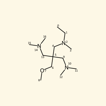 CCN(C)CC(COC)(CN(C)C)CN(C)C